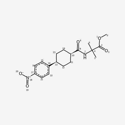 COC(=O)C(C)(C)NC(=O)[C@H]1CC[C@@H](c2ccc([N+](=O)[O-])cc2)CC1